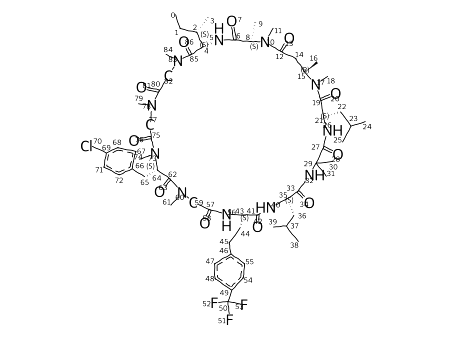 CC[C@H](C)[C@@H]1NC(=O)[C@H](C)N(C)C(=O)C[C@@H](C)N(C)C(=O)[C@H](CC(C)C)NC(=O)C(C)(C)NC(=O)[C@H](CC(C)C)NC(=O)[C@H](CCc2ccc(C(F)(F)F)cc2)NC(=O)CN(C)C(=O)[C@H](Cc2ccc(Cl)cc2)N(C)C(=O)CN(C)C(=O)CN(C)C1=O